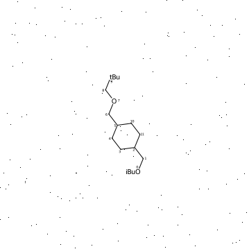 CC(C)COCC1CCC(COCC(C)(C)C)CC1